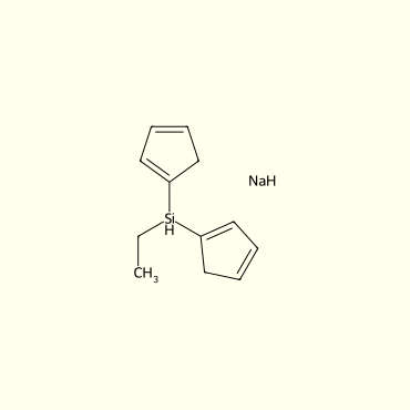 CC[SiH](C1=CC=CC1)C1=CC=CC1.[NaH]